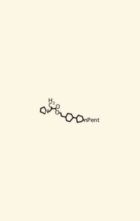 C=C(CN1CCCC1)C(=O)OCCC1CCC(C2CCC(CCCCC)CC2)CC1